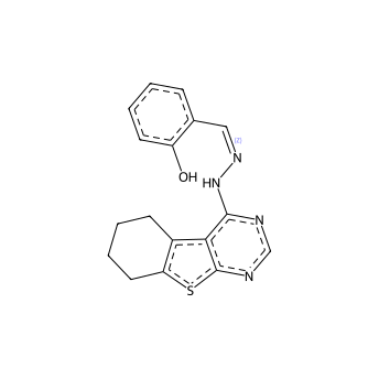 Oc1ccccc1/C=N\Nc1ncnc2sc3c(c12)CCCC3